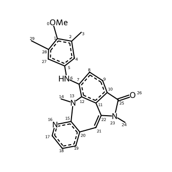 COc1c(C)cc(Nc2ccc3c4c2N(C)c2ncccc2C=C4N(C)C3=O)cc1C